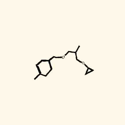 CC1=CCC(COCC(C)COC2CC2)CC1